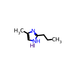 CCCc1nc(C)c[nH]1.I